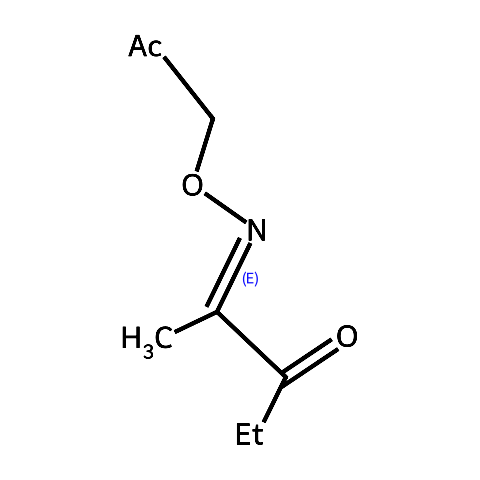 CCC(=O)/C(C)=N/OCC(C)=O